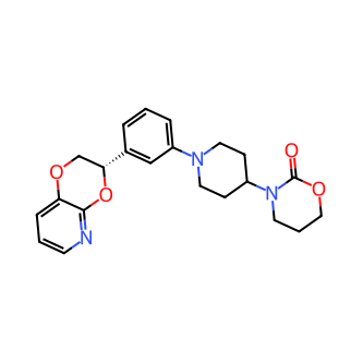 O=C1OCCCN1C1CCN(c2cccc([C@H]3COc4cccnc4O3)c2)CC1